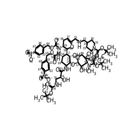 CN(C(=O)OC(C)(C)C)[C@@H]1[C@@H](O)[C@@H](O[C@@H]2[C@@H](O)[C@H](C3OC(CNCC4CCN(C(=O)OC(C)(C)C)CC4)=CC[C@H]3NC(=O)OCc3ccc([N+](=O)[O-])cc3)[C@@H](NC(=O)OCc3ccc([N+](=O)[O-])cc3)C[C@H]2NC(=O)[C@@H](O)CNC(=O)OC(C)(C)C)OC[C@]1(C)O